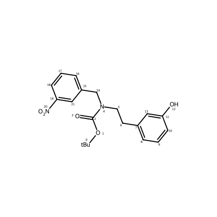 CC(C)(C)OC(=O)N(CCc1cccc(O)c1)Cc1cccc([N+](=O)[O-])c1